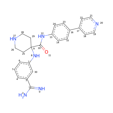 N=C(N)c1cccc(NC2(C(=O)Nc3ccc(-c4ccncc4)cc3)CCNCC2)c1